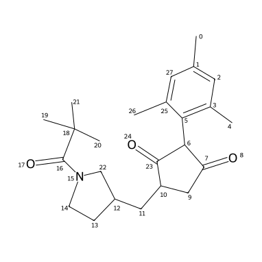 Cc1cc(C)c(C2C(=O)CC(CC3CCN(C(=O)C(C)(C)C)C3)C2=O)c(C)c1